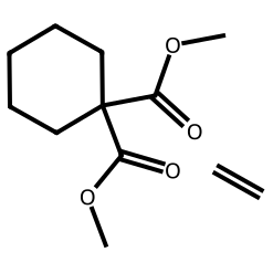 C=C.COC(=O)C1(C(=O)OC)CCCCC1